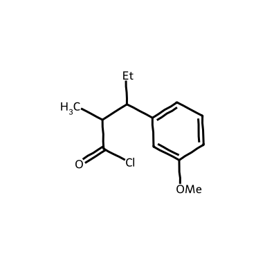 CCC(c1cccc(OC)c1)C(C)C(=O)Cl